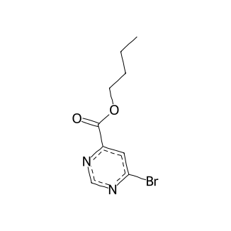 CCCCOC(=O)c1cc(Br)ncn1